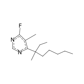 CCCCCC(C)(CC)c1ncnc(F)c1C